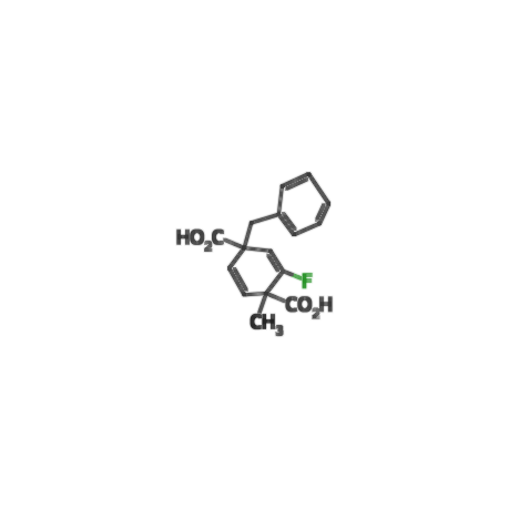 CC1(C(=O)O)C=CC(Cc2ccccc2)(C(=O)O)C=C1F